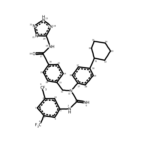 N=C(Nc1cc(C(F)(F)F)cc(C(F)(F)F)c1)N(Cc1ccc(C(=O)Nc2nn[nH]n2)cc1)c1ccc(C2CCCCC2)cc1